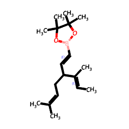 C/C=C(\C)C(/C=C/B1OC(C)(C)C(C)(C)O1)CC=C(C)C